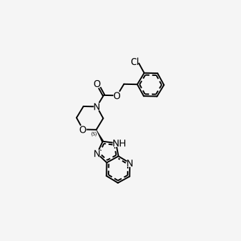 O=C(OCc1ccccc1Cl)N1CCO[C@H](c2nc3cccnc3[nH]2)C1